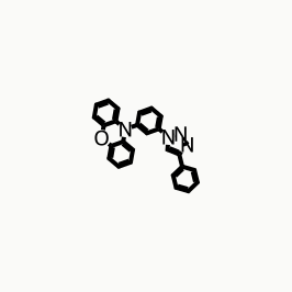 c1ccc(-c2cn(-c3cccc(N4c5ccccc5Oc5ccccc54)c3)nn2)cc1